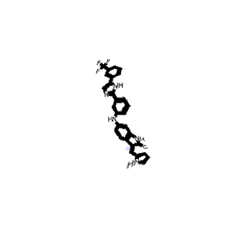 O=C1Nc2cc(Nc3cccc(-c4ncc(-c5cccc(C(F)(F)F)c5)[nH]4)c3)ccc2/C1=C/c1ccc[nH]1